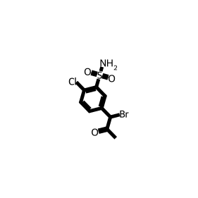 CC(=O)C(Br)c1ccc(Cl)c(S(N)(=O)=O)c1